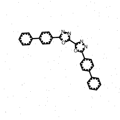 c1ccc(-c2ccc(-c3nnc(-c4nnc(-c5ccc(-c6ccccc6)cc5)o4)o3)cc2)cc1